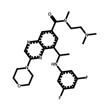 CC(Nc1cc(F)cc(F)c1)c1cc(C(=O)N(C)CCN(C)C)cc2ncc(N3CCOCC3)nc12